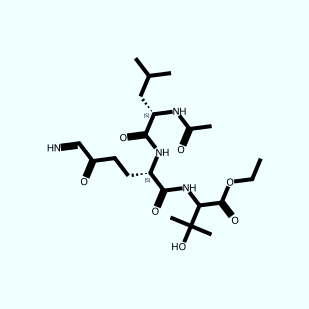 CCOC(=O)C(NC(=O)[C@H](CCC(=O)C=N)NC(=O)[C@H](CC(C)C)NC(C)=O)C(C)(C)O